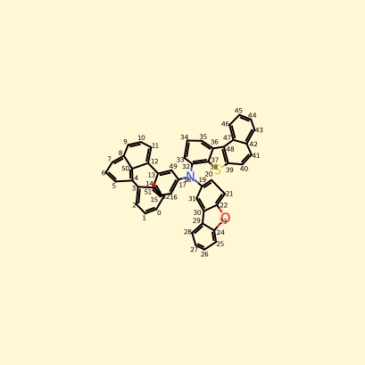 c1ccc(-c2cccc3cccc(-c4cccc(N(c5ccc6oc7ccccc7c6c5)c5cccc6c5sc5ccc7ccccc7c56)c4)c23)cc1